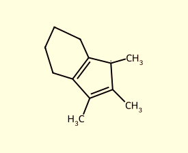 C[C]1C(C)=C(C)C2=C1CCCC2